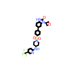 O=c1[nH]c2ccc(-c3ccc(S(=O)(=O)N4CCC(Nc5ccc(C(F)(F)F)cn5)CC4)cc3)cc2n1C1COC1